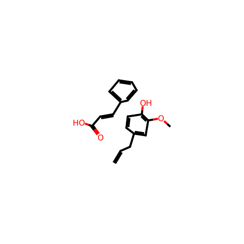 C=CCc1ccc(O)c(OC)c1.O=C(O)C=Cc1ccccc1